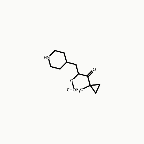 O=COC(CC1CCNCC1)C(=O)C1(C(F)(F)F)CC1